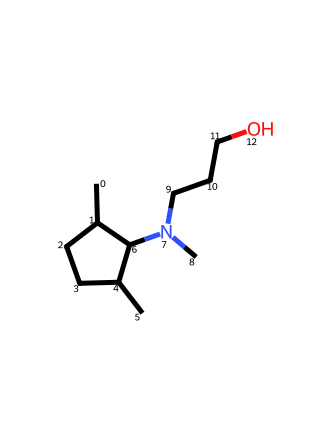 CC1CCC(C)C1N(C)CCCO